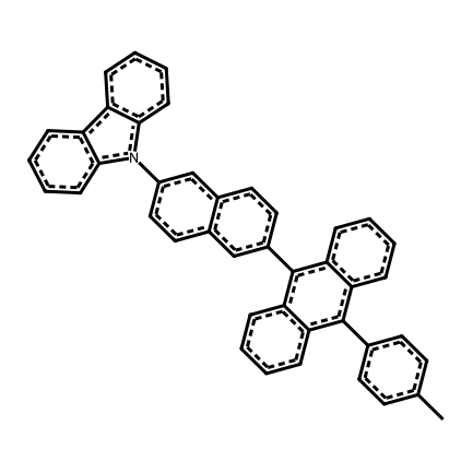 Cc1ccc(-c2c3ccccc3c(-c3ccc4cc(-n5c6ccccc6c6ccccc65)ccc4c3)c3ccccc23)cc1